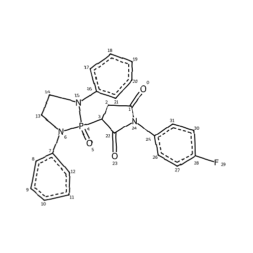 O=C1CC(P2(=O)N(c3ccccc3)CCN2c2ccccc2)C(=O)N1c1ccc(F)cc1